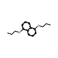 CCCOc1cccc2c(OCCC)cccc12